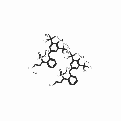 CCCC(c1ccccc1Cc1cc(C(C)(C)C)c(O)c(C(C)(C)C)c1)P(=O)([O-])OC.CCCC(c1ccccc1Cc1cc(C(C)(C)C)c(O)c(C(C)(C)C)c1)P(=O)([O-])OC.[Ca+2]